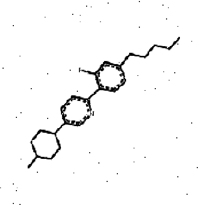 CCCCCc1ccc(-c2ccc(C3CCC(C)CC3)cn2)c(F)c1